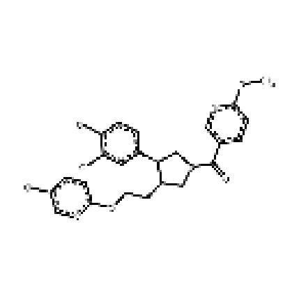 COc1ccc(C(=O)N2C[C@@H](CCOc3ccc(Cl)cn3)[C@@H](c3ccc(Cl)c(Cl)c3)C2)cn1